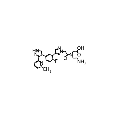 Cc1cccc(-c2n[nH]cc2-c2ccc(F)c(-c3cnn(CC(=O)N(CCN)CC(=O)O)c3)c2)n1